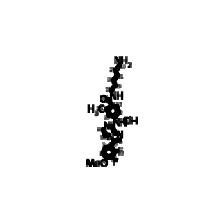 COc1ccc(-c2cnc3c(Nc4ccc(C(=O)NCCCCCCN)c(C)c4)nccn23)c(F)c1F.Cl